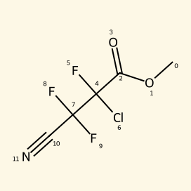 COC(=O)C(F)(Cl)C(F)(F)C#N